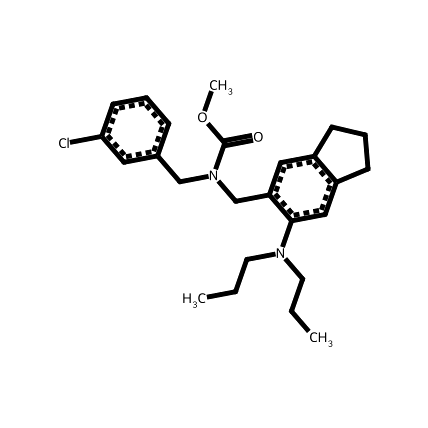 CCCN(CCC)c1cc2c(cc1CN(Cc1cccc(Cl)c1)C(=O)OC)CCC2